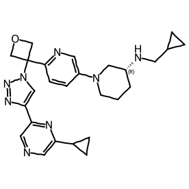 c1cc(C2(n3cc(-c4cncc(C5CC5)n4)nn3)COC2)ncc1N1CCC[C@@H](NCC2CC2)C1